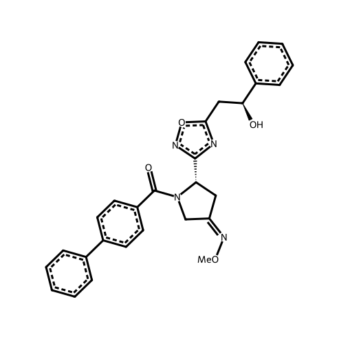 CO/N=C1/C[C@@H](c2noc(C[C@H](O)c3ccccc3)n2)N(C(=O)c2ccc(-c3ccccc3)cc2)C1